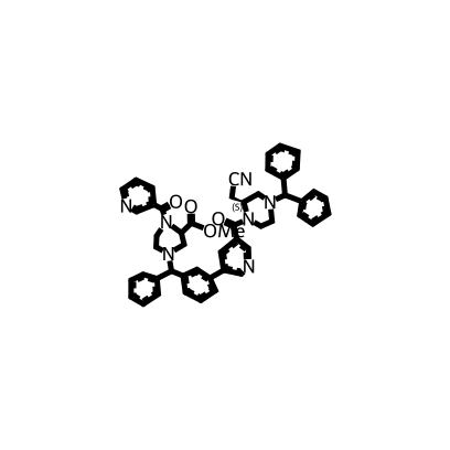 COC(=O)C1CN(C(c2ccccc2)c2cccc(-c3cncc(C(=O)N4CCN(C(c5ccccc5)c5ccccc5)C[C@@H]4CC#N)c3)c2)CCN1C(=O)c1cccnc1